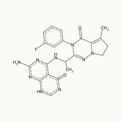 CC1=C2C(=O)N(c3cccc(F)c3)C(C(C)Nc3nc(N)nc4[nH]cnc(=O)c34)=NN2CC1